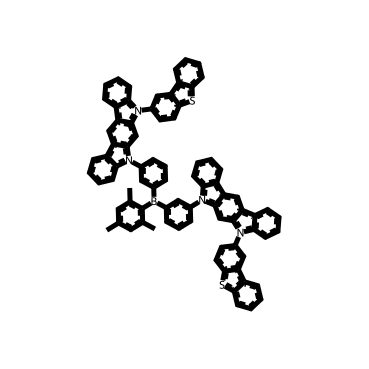 Cc1cc(C)c(B(c2cccc(-n3c4ccccc4c4cc5c6ccccc6n(-c6ccc7sc8ccccc8c7c6)c5cc43)c2)c2cccc(-n3c4ccccc4c4cc5c6ccccc6n(-c6ccc7sc8ccccc8c7c6)c5cc43)c2)c(C)c1